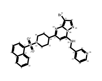 O=S(=O)(c1cccc2ccccc12)N1CCC(c2cc(NCc3cccnc3)n3ncc(Br)c3n2)CC1